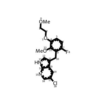 COCCOc1ccc(F)c(Cc2c[nH]c3ncc(Cl)cc23)c1OC